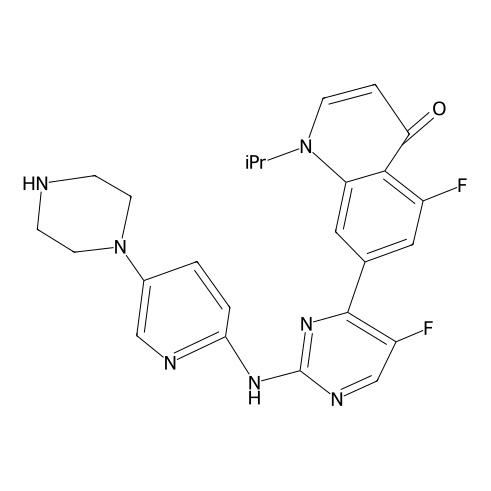 CC(C)n1ccc(=O)c2c(F)cc(-c3nc(Nc4ccc(N5CCNCC5)cn4)ncc3F)cc21